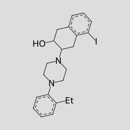 CCc1ccccc1N1CCN(C2Cc3c(I)cccc3CC2O)CC1